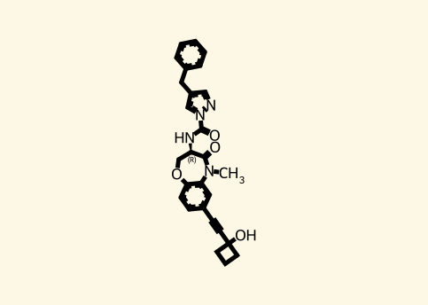 CN1C(=O)[C@H](NC(=O)n2cc(Cc3ccccc3)cn2)COc2ccc(C#CC3(O)CCC3)cc21